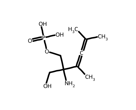 CC(C)=C=C(C)C(N)(CO)COP(=O)(O)O